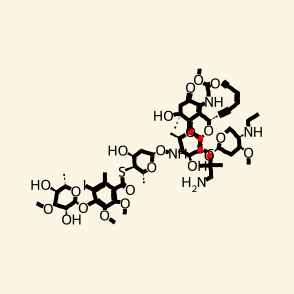 C#C/C=C\C#C[C@H](O[C@@H]1O[C@H](C)[C@@H](NO[C@H]2C[C@H](O)[C@H](SC(=O)c3c(C)c(I)c(O[C@@H]4O[C@@H](C)[C@H](O)[C@@H](OC)[C@H]4O)c(OC)c3OC)[C@@H](C)O2)[C@H](O)[C@H]1O[C@H]1C[C@H](OC)[C@@H](NCC)CO1)C1=C(NC(=O)OC)C(=O)C[C@](C)(O)/C1=C/CSSC(C)(C)CN